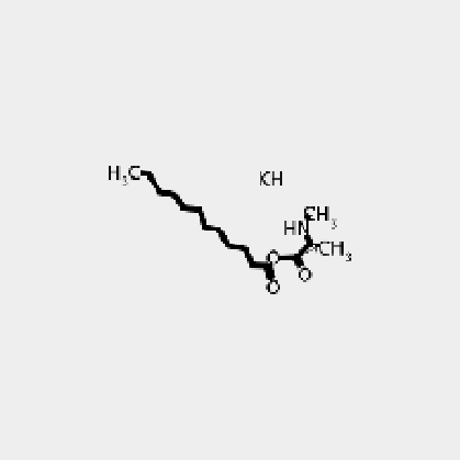 CCCCCCCCCCCC(=O)OC(=O)[C@H](C)NC.[KH]